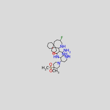 CC1(S(C)(=O)=O)CCN(C2CCNCC2NC(=O)C(C(N)N)C2NCC(F)CCC3(CCCCC3)C23CCCC3)CC1